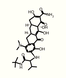 CC(C)C(Nc1cc(N(C)C)c2c(c1O)C(=O)C1=C(O)[C@]3(O)C(=O)C(C(N)=O)=C(O)C[C@@H]3C[C@@H]1C2)C(=O)NC(C)(C)C